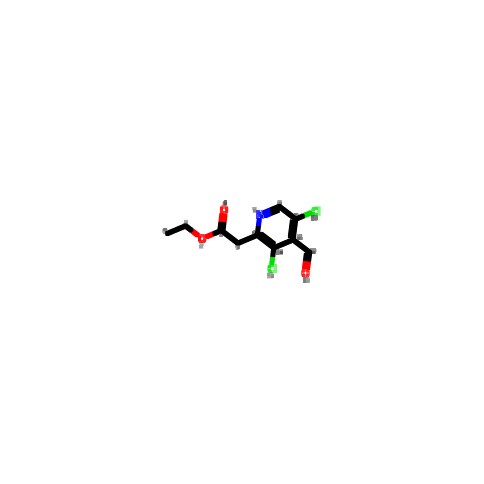 CCOC(=O)Cc1ncc(Cl)c(C=O)c1Cl